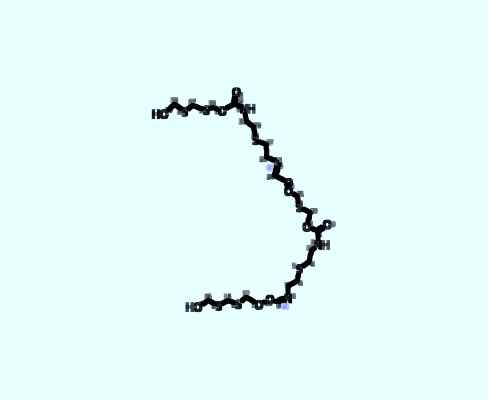 O=C(NCCSCC/N=C\OOCSCSCO)OCSCOO/C=N/CCSCCNC(=O)OCSCSCO